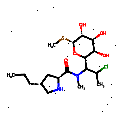 CCC[C@H]1CN[C@H](C(=O)N(C)C(C(C)Cl)[C@H]2O[C@H](SC)[C@H](O)[C@@H](O)[C@H]2O)C1